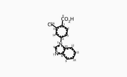 O=C(O)c1ccc(-n2cnc3ccccc32)cc1Cl